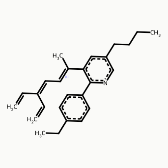 C=CC(C=C)=C/C=C(\C)c1cc(CCCC)cnc1-c1ccc(CC)cc1